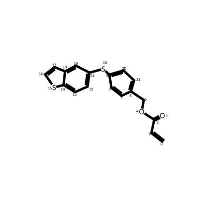 C=CC(=O)OCc1ccc(Sc2ccc3sccc3c2)cc1